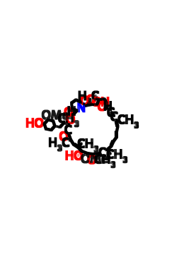 CO[C@@H]1C[C@@H](CC(C)[C@@H]2CC(=O)[C@H](C)/C=C(\C)[C@@H](O)[C@@H](OC)C(=O)[C@H](C)C[C@H](C)/C=C/C=C/C=C(/C)CC[C@@H]3CC[C@@H](C)[C@@](O)(O3)C(=O)C(=O)N3CCCC[C@H]3C(=O)O2)CC[C@H]1O